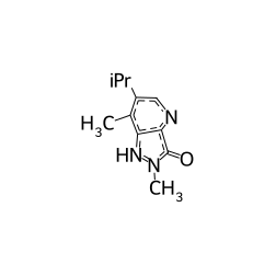 Cc1c(C(C)C)cnc2c(=O)n(C)[nH]c12